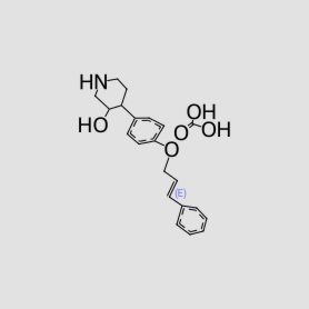 O=C(O)O.OC1CNCCC1c1ccc(OC/C=C/c2ccccc2)cc1